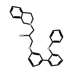 OC(COc1cccc(-c2ccccc2Oc2ccccc2)c1)CN1CCc2ccccc2C1